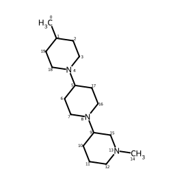 CC1CCN(C2CCN(C3CCCN(C)C3)CC2)CC1